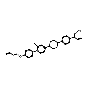 C=CCOOc1ccc(-c2ccc(C3CCC(c4ccc(C(C=C)OO)cc4)CC3)cc2C)cc1